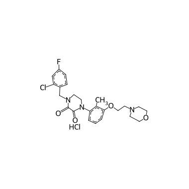 Cc1c(OCCN2CCOCC2)cccc1N1CCN(Cc2ccc(F)cc2Cl)C(=O)C1=O.Cl